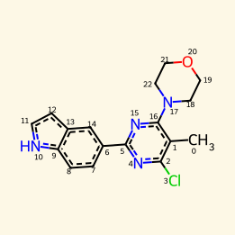 Cc1c(Cl)nc(-c2ccc3[nH]ccc3c2)nc1N1CCOCC1